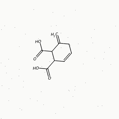 C=C1CC=CC(C(=O)O)C1C(=O)O